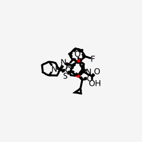 COc1cc(C(=O)O)cc2sc(N3C4CCC3CC(OCc3c(-c5c(F)cccc5F)noc3C3CC3)C4)nc12